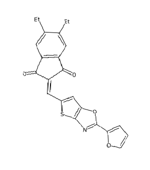 CCc1cc2c(cc1CC)C(=O)C(=Cc1cc3oc(-c4ccco4)nc3s1)C2=O